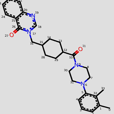 Cc1cccc(N2CCN(C(=O)C3CCC(Cn4cnc5ccccc5c4=O)CC3)CC2)c1C